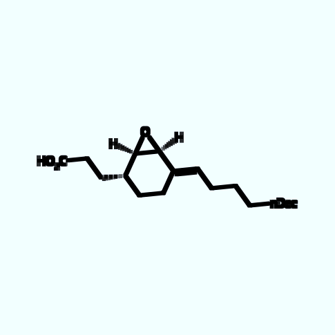 CCCCCCCCCCCCC/C=C1\CC[C@H](CCC(=O)O)[C@H]2O[C@@H]12